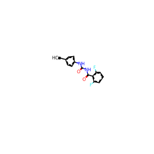 C#Cc1ccc(NC(=O)NC(=O)c2c(F)cccc2F)cc1